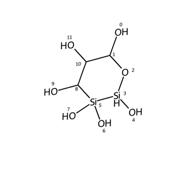 OC1O[SiH](O)[Si](O)(O)C(O)C1O